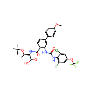 COc1ccc(-c2ccc(C(=O)N[C@H](C(=O)O)C(C)OC(C)(C)C)c(NC(=O)Nc3c(Cl)cc(OC(F)(F)F)cc3Cl)c2)cc1